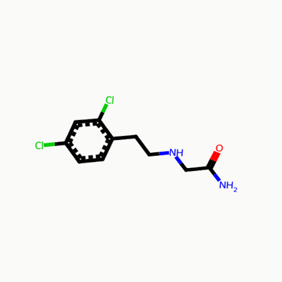 NC(=O)CNCCc1ccc(Cl)cc1Cl